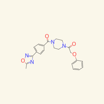 Cc1nc(-c2ccc(C(=O)N3CCN(C(=O)COc4ccccc4)CC3)cc2)no1